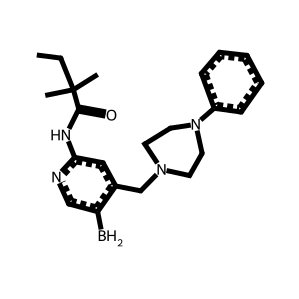 Bc1cnc(NC(=O)C(C)(C)CC)cc1CN1CCN(c2ccccc2)CC1